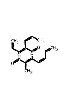 C=C/C=C\C1=C(C)[PH](=O)C(C=C)=C(/C=C\C)[PH]1=O